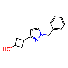 OC1CC(c2ccn(Cc3ccccc3)n2)C1